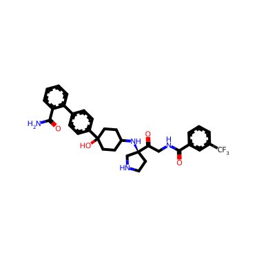 NC(=O)c1ccccc1-c1ccc(C2(O)CCC(N[C@@]3(C(=O)CNC(=O)c4cccc(C(F)(F)F)c4)CCNC3)CC2)cc1